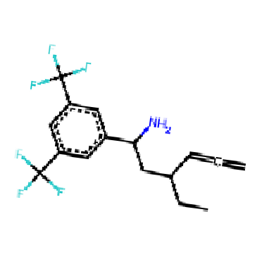 C=C=CC(CC)CC(N)c1cc(C(F)(F)F)cc(C(F)(F)F)c1